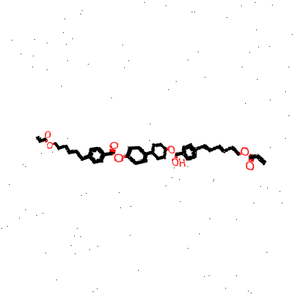 C=CC(=O)OCCCCCCc1ccc(C(=O)OC2CCC(C3CCC(OC(O)c4ccc(CCCCCCOC(=O)C=C)cc4)CC3)CC2)cc1